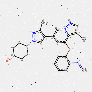 C=Nc1ccccc1Sc1cc(-c2cn([C@H]3CC[C@@H](O)CC3)nc2C)cn2ncc(C#N)c12